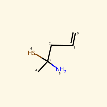 C=CCC(C)(N)S